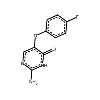 Nc1ncc(Oc2ccc(F)cc2)c(=O)[nH]1